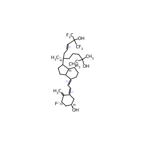 C=C1/C(=C\C=C2/CCC[C@@]3(C)C2CCC3[C@@](C)(C/C=C/C(O)(C(F)(F)F)C(F)(F)F)CCCC(C)(C)O)C[C@@H](O)C[C@@H]1F